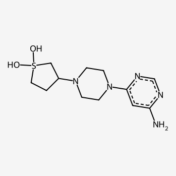 Nc1cc(N2CCN(C3CCS(O)(O)C3)CC2)ncn1